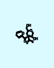 O=C(C1=CCC=CO1)[N+]1(C(=S)[S-])CC(CO)OCC1O